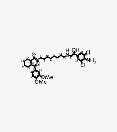 COc1ccc(C2=NN(CCCCCCCCNCC(O)c3cc(Cl)c(N)c(Cl)c3)C(=O)C3CCCCC23)cc1OC